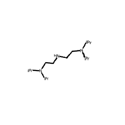 CC(C)N(CCNCCN(C(C)C)C(C)C)C(C)C